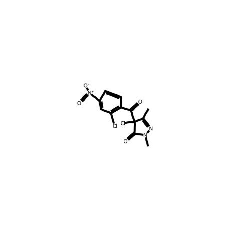 CC1=NN(C)C(=O)C1(Cl)C(=O)c1ccc([N+](=O)[O-])cc1Cl